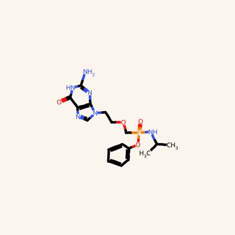 CC(C)NP(=O)(COCCn1cnc2c(=O)[nH]c(N)nc21)Oc1ccccc1